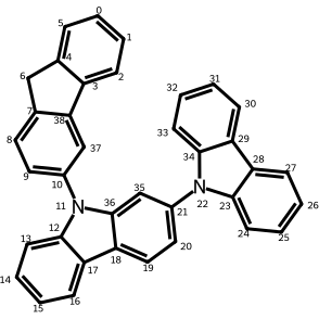 c1ccc2c(c1)Cc1ccc(-n3c4ccccc4c4ccc(-n5c6ccccc6c6ccccc65)cc43)cc1-2